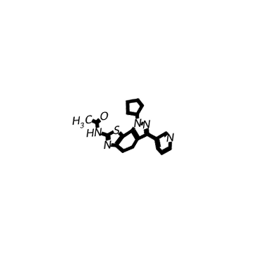 CC(=O)Nc1nc2c(s1)-c1c(c(-c3cccnc3)nn1C1CCCC1)CC2